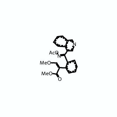 COC=C(C(=O)OC)c1ccccc1C(=NOC(C)=O)c1cncc2ccccc12